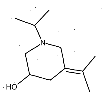 CC(C)=C1CC(O)CN(C(C)C)C1